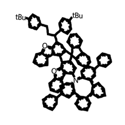 CC(C)(C)c1ccc(CCC(c2ccc(C(C)(C)C)cc2)c2cc3c(c4c2oc2ccccc24)-c2c(cc(-n4c5ccc(-c6ccccc6)cc5c5ccccc5c5ccccc5c5cc(-c6ccccc6)ccc54)c4c2oc2ccccc24)C32c3ccccc3-c3ccccc32)cc1